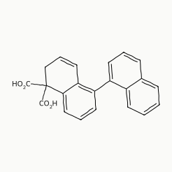 O=C(O)C1(C(=O)O)CC=Cc2c(-c3cccc4ccccc34)cccc21